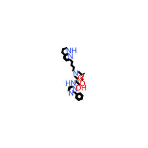 CO[C@H](C)CN(CCCCc1ccc2c(n1)NCCC2)CC[C@H](Nc1ccnc(-c2ccccc2)n1)C(=O)O